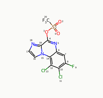 O=S(=O)(Oc1nc2cc(F)c(Cl)c(Cl)c2n2ccnc12)C(F)(F)F